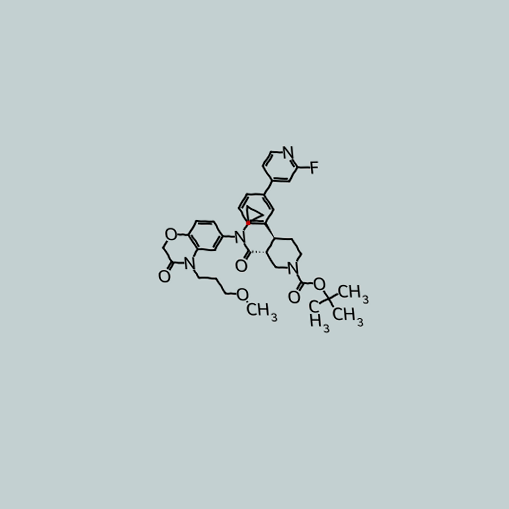 COCCCN1C(=O)COc2ccc(N(C(=O)[C@H]3CN(C(=O)OC(C)(C)C)CC[C@@H]3c3cccc(-c4ccnc(F)c4)c3)C3CC3)cc21